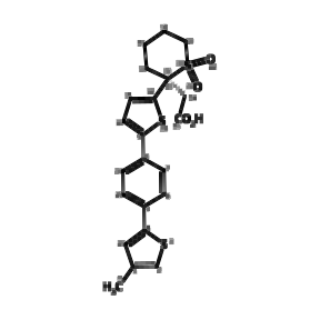 Cc1csc(-c2ccc(-c3ccc([C@@]4(CC(=O)O)CCCCS4(=O)=O)s3)cc2)c1